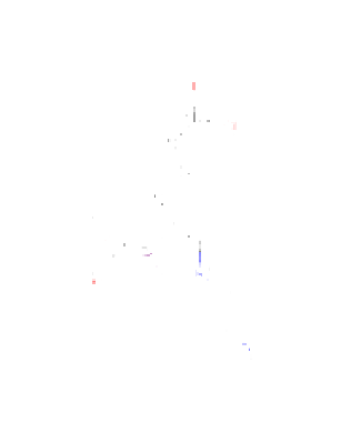 NCCN1CC(CCCB(O)O)P(C(=O)O)C1